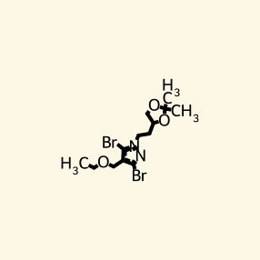 CCOCc1c(Br)nn(CCC2COC(C)(C)O2)c1Br